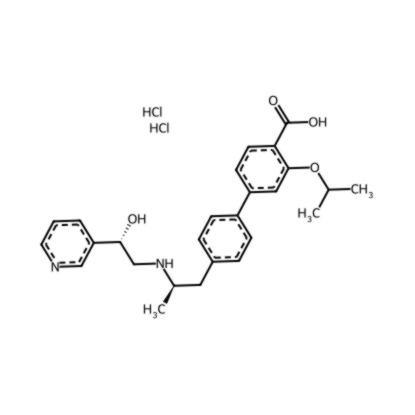 CC(C)Oc1cc(-c2ccc(C[C@@H](C)NC[C@@H](O)c3cccnc3)cc2)ccc1C(=O)O.Cl.Cl